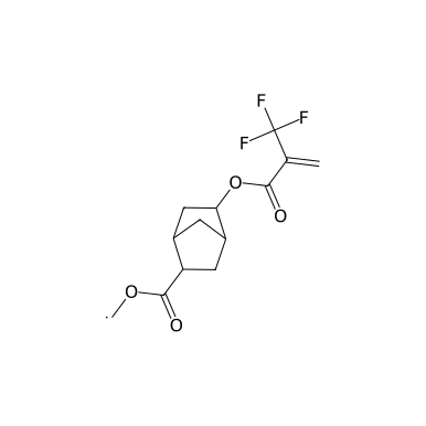 [CH2]OC(=O)C1CC2CC1CC2OC(=O)C(=C)C(F)(F)F